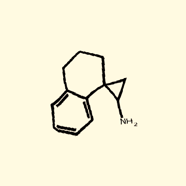 NC1CC12CCCc1ccccc12